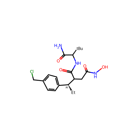 CC[C@@H](c1ccc(CCl)cc1)C(CC(=O)NO)C(=O)NC(C(N)=O)C(C)(C)C